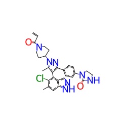 C=CC(=O)N1CCC(n2nc(-c3ccc(N4CCNC4=O)cc3)c(-c3c(Cl)c(C)cc4[nH]ncc34)c2C)CC1